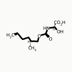 C=CCC[C@@H](C)COC(=O)N[C@@H](O)C(=O)O